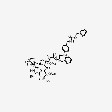 CC[C@H](C)[C@@H]([C@@H](CC(=O)N1CCC[C@H]1[C@H](OC)[C@@H](C)C(=O)N[C@@H](Cc1ccccc1)C(=O)Nc1ccc(CNC(=O)OCc2ccccc2)cc1)OC)N(C)C(=O)[C@@H](NC(=O)[C@H]1N[C@@H]2CC[C@H]1C2)C(C)C